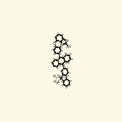 CCc1nc2cccc3c2n1-c1cc(-c2c4ccccc4c(-c4ccc5c(c4)C(C)(C)c4ccccc4-5)c4ccccc24)ccc1O3